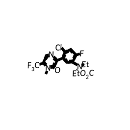 CCOC(=O)N(CC)c1cc(-c2ncc(C(F)(F)F)n(C)c2=O)c(Cl)cc1F